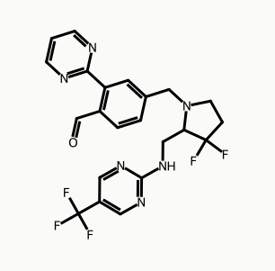 O=Cc1ccc(CN2CCC(F)(F)C2CNc2ncc(C(F)(F)F)cn2)cc1-c1ncccn1